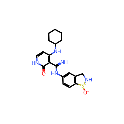 N=C(Nc1ccc2c(c1)CN[S+]2[O-])c1c(NC2CCCCC2)cc[nH]c1=O